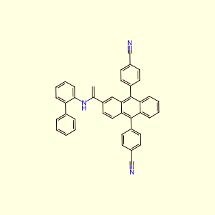 C=C(Nc1ccccc1-c1ccccc1)c1ccc2c(-c3ccc(C#N)cc3)c3ccccc3c(-c3ccc(C#N)cc3)c2c1